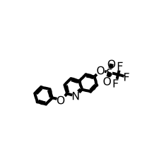 O=S(=O)(Oc1ccc2nc(Oc3ccccc3)ccc2c1)C(F)(F)F